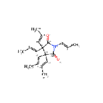 CC=CN1C(=O)C(C=CC)(C=CC)C(C=CC)(C=CC)C1=O